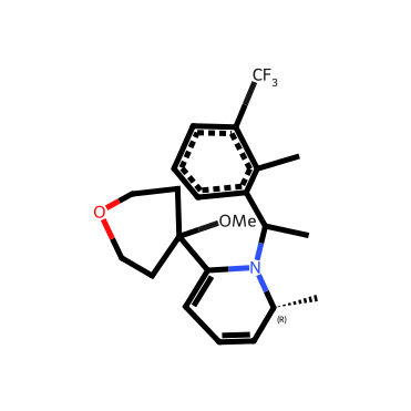 COC1(C2=CC=C[C@@H](C)N2C(C)c2cccc(C(F)(F)F)c2C)CCOCC1